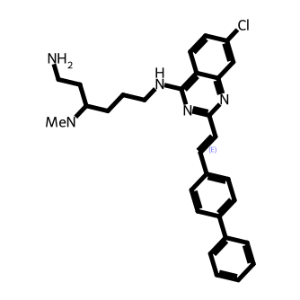 CNC(CCN)CCCNc1nc(/C=C/c2ccc(-c3ccccc3)cc2)nc2cc(Cl)ccc12